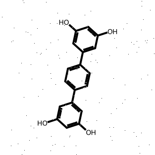 Oc1cc(O)cc(-c2ccc(-c3cc(O)cc(O)c3)cc2)c1